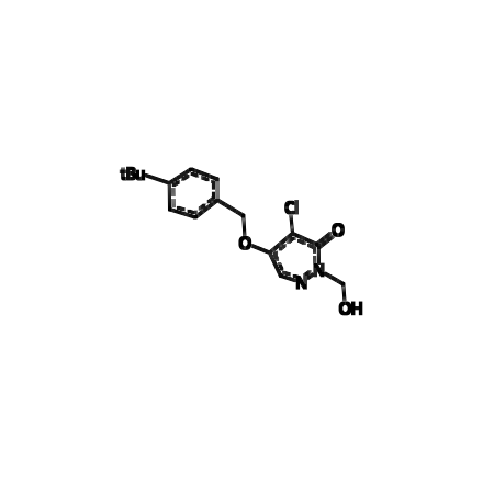 CC(C)(C)c1ccc(COc2cnn(CO)c(=O)c2Cl)cc1